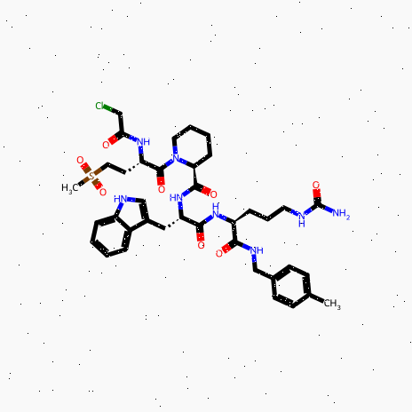 Cc1ccc(CNC(=O)[C@H](CCCNC(N)=O)NC(=O)[C@H](Cc2c[nH]c3ccccc23)NC(=O)[C@@H]2CCCCN2C(=O)[C@H](CCS(C)(=O)=O)NC(=O)CCl)cc1